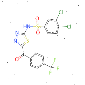 O=C(c1ccc(C(F)(F)F)cc1)c1nnc(NS(=O)(=O)c2ccc(Cl)c(Cl)c2)s1